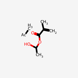 C=C(C)C(=O)OC(C)O.CC(C)=O